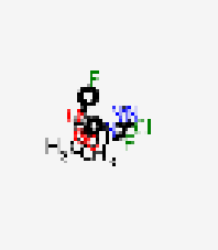 CC1(C)O[C@@H]2[C@H](O1)[C@@H](C(=O)c1ccc(F)cc1)C[C@H]2n1cc(F)c2c(Cl)ncnc21